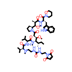 CC[C@H](C)[C@@H]([C@@H](CC(=O)N1CCC[C@H]1[C@H](OC)[C@@H](C)C(=O)N[C@@H](Cc1c[nH]c2ccccc12)C(=O)N1CCCCO1)OC)N(C)C(=O)[C@@H](NC(=O)[C@H](C(C)C)N(C)CCNC(=O)NCCN1C(=O)C=CC1=O)C(C)C